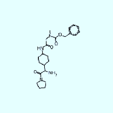 CN(CC(=O)NC1CCC(C(N)C(=O)N2CCCC2)CC1)C(=O)OCc1ccccc1